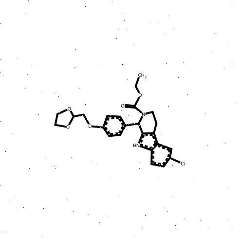 CCOC(=O)N1CCc2c([nH]c3ccc(Cl)cc23)C1c1ccc(OCC2OCCO2)cc1